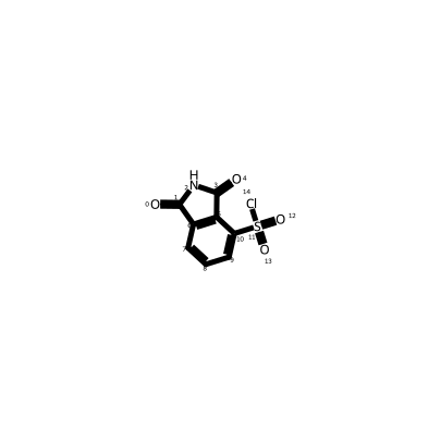 O=C1NC(=O)c2c1cccc2S(=O)(=O)Cl